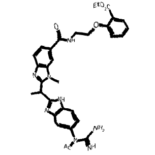 CCOC(=O)c1ccccc1OCCNC(=O)c1ccc2nc(C(C)c3nc4cc(N(C(=N)N)C(C)=O)ccc4[nH]3)n(C)c2c1